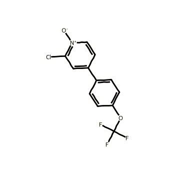 [O-][n+]1ccc(-c2ccc(OC(F)(F)F)cc2)cc1Cl